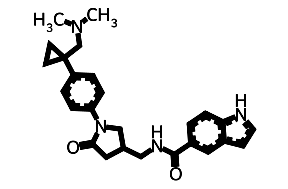 CN(C)CC1(c2ccc(N3CC(CNC(=O)c4ccc5[nH]ccc5c4)CC3=O)cc2)CC1